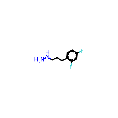 NNCCCc1ccc(F)cc1F